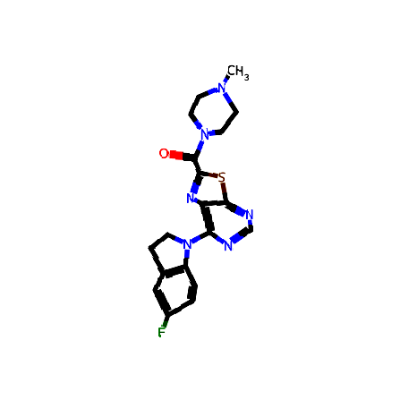 CN1CCN(C(=O)c2nc3c(N4CCc5cc(F)ccc54)ncnc3s2)CC1